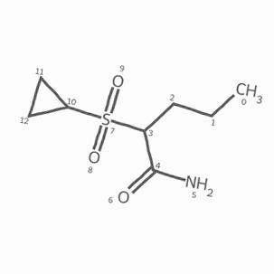 CCCC(C(N)=O)S(=O)(=O)C1CC1